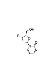 O=c1ncccn1[C@H]1C[C@H](F)[C@@H](CO)O1